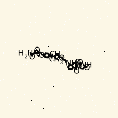 CC(C)(c1ccc(OCCCNc2cccc3c2CC(=O)N(C2CCC(=O)NC2=O)C3=O)cc1)c1ccc(OCc2nc(C(N)=O)co2)cc1